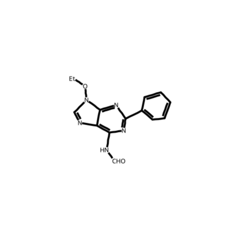 CCOn1cnc2c(NC=O)nc(-c3ccccc3)nc21